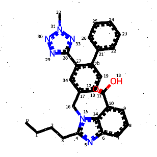 CCCCc1nc2cccc(C(=O)O)c2n1Cc1ccc(-c2ccccc2)c(-c2nnn(C)n2)c1